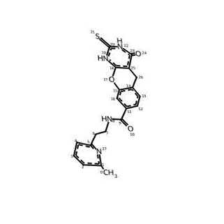 Cc1cccc(CCNC(=O)c2ccc3c(c2)Oc2[nH]c(=S)[nH]c(=O)c2C3)n1